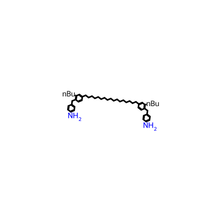 CCCCc1cc(CCCCCCCCCCCCCCCCCc2ccc(Cc3ccc(N)cc3)c(CCCC)c2)ccc1Cc1ccc(N)cc1